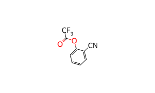 N#Cc1ccccc1OC(=O)C(F)(F)F